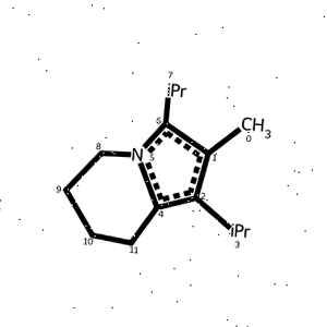 Cc1c(C(C)C)c2n(c1C(C)C)CCCC2